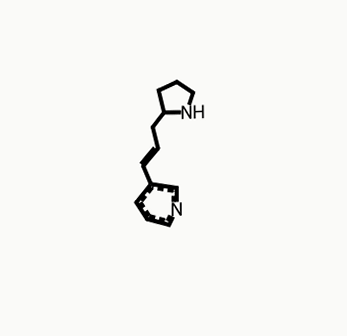 C(=Cc1cccnc1)CC1CCCN1